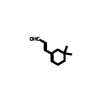 CC1(C)CCC=C(C=CC=O)C1